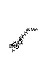 CNCCCCCCOc1cccc(-n2ccc(=O)[nH]c2=O)c1